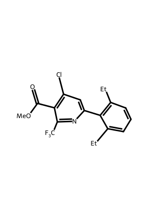 CCc1cccc(CC)c1-c1cc(Cl)c(C(=O)OC)c(C(F)(F)F)n1